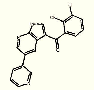 O=C(c1cccc(Cl)c1Cl)c1c[nH]c2ncc(-c3cccnc3)cc12